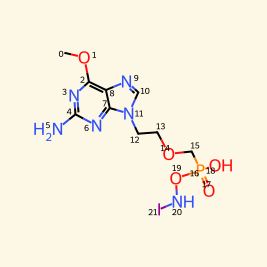 COc1nc(N)nc2c1ncn2CCOCP(=O)(O)ONI